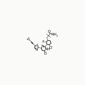 CC(C)(Cc1ccc(Cl)c(-c2nc(-c3ncc(C#CC4CC4)s3)cc(=O)[nH]2)c1F)C(N)=O